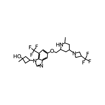 CC1CC(N2CC(C(F)(F)F)C2)CC(COc2cc(C(F)(F)F)c3c(c2)ncn3C2CC(C)(O)C2)N1